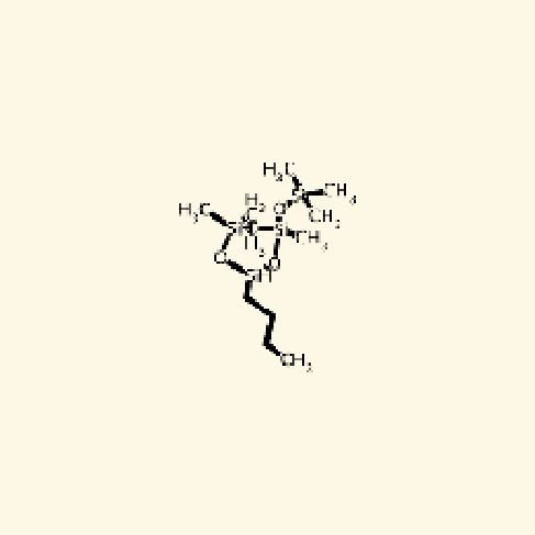 CCCC[SiH](O[SiH](C)C)O[Si](C)(C)O[Si](C)(C)C